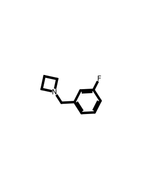 Fc1cccc(CN2CCC2)c1